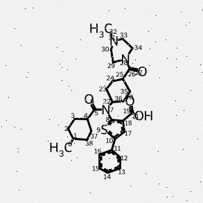 CC1CCC(C(=O)N(c2sc(-c3ccccc3)cc2C(=O)O)C2CCC(C(=O)N3CCN(C)CC3)CC2)CC1